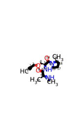 C#CCOC[C@H](NC(=O)[C@H](C)NC)C(=O)N1CCC[C@H]1C